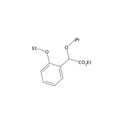 CCOC(=O)C(OC(C)C)c1ccccc1OCC